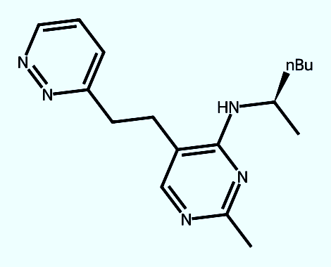 CCCC[C@@H](C)Nc1nc(C)ncc1CCc1cccnn1